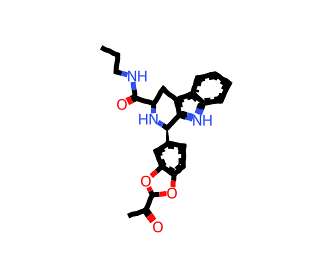 CCCNC(=O)C1Cc2c([nH]c3ccccc23)[C@@H](c2ccc3c(c2)OC(C(C)=O)O3)N1